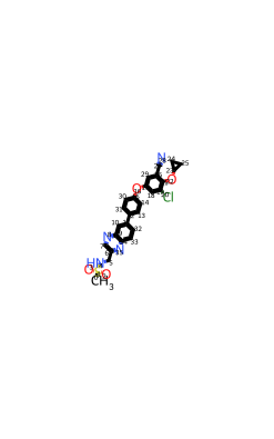 CS(=O)(=O)NCc1cnc2cc(-c3ccc(Oc4cc(Cl)c(OC5CC5)c(C#N)c4)cc3)ccc2n1